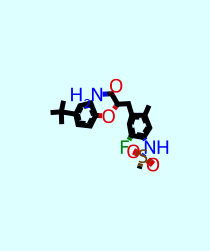 Cc1cc(NS(C)(=O)=O)c(F)cc1CC(Oc1ccc(C(C)(C)C)cc1)C(N)=O